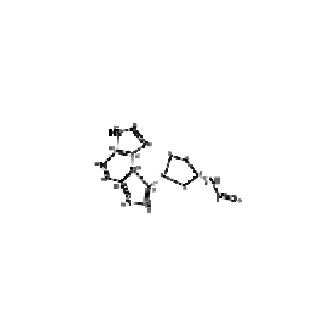 O=CN[C@H]1CC[C@@H](c2nnc3cnc4[nH]ccc4n23)C1